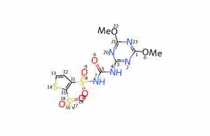 COc1nc(NC(=O)NS(=O)(=O)c2ccsc2S(C)(=O)=O)nc(OC)n1